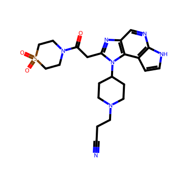 N#CCCN1CCC(n2c(CC(=O)N3CCS(=O)(=O)CC3)nc3cnc4[nH]ccc4c32)CC1